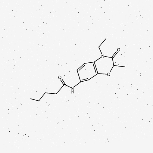 CCCCC(=O)Nc1ccc2c(c1)OC(C)C(=O)N2CC